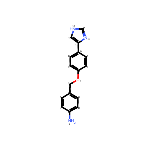 Nc1ccc(COc2ccc(-c3c[nH]cn3)cc2)cc1